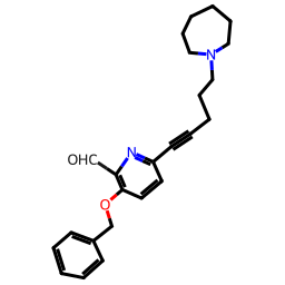 O=Cc1nc(C#CCCCN2CCCCCC2)ccc1OCc1ccccc1